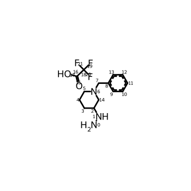 NNC1CCCN(Cc2ccccc2)C1.O=C(O)C(F)(F)F